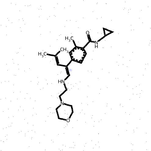 CC(C)=C/C(=C\NCCN1CCOCC1)c1ccc(C(=O)NC2CC2)c(C)c1